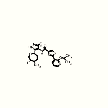 Cc1n[nH]c([C@@H]2CC[C@@H](N)[C@H](F)CO2)c1NC(=O)c1csc(-c2cccnc2OC(C)C)n1